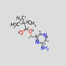 CC(C)(C)C(=O)OCc1cncc(N)n1